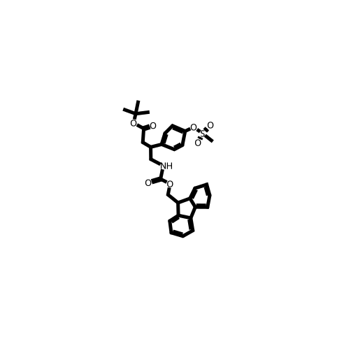 CC(C)(C)OC(=O)CC(CNC(=O)OCC1c2ccccc2-c2ccccc21)c1ccc(OS(C)(=O)=O)cc1